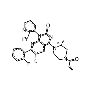 C=CC(=O)N1CCN(c2nc(=O)n(-c3cccnc3C(C)C)c3nc(-c4ccccc4F)c(Cl)cc23)[C@@H](C)C1